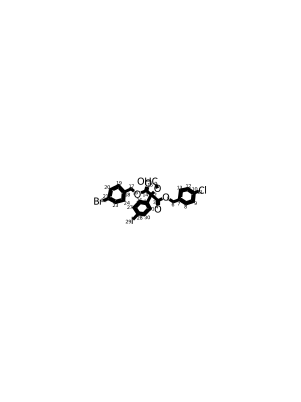 O=[C]OC(C(=O)OCc1ccc(Cl)cc1)(C(=O)OCc1ccc(Br)cc1)c1ccc(I)cc1